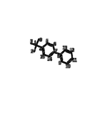 CC(C)(C)c1ccc(-c2ccccc2)cc1